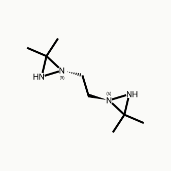 CC1(C)N[N@@]1CC[N@@]1NC1(C)C